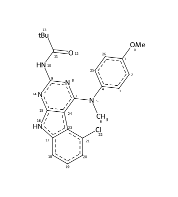 COc1ccc(N(C)c2nc(NC(=O)C(C)(C)C)nc3[nH]c4cccc(Cl)c4c23)cc1